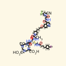 C[C@H](NC(=O)[C@H](CSCCNC(=O)CCCc1ccc(I)cc1)NC(=O)CN1CCN(CC(=O)O)CCN(CC(=O)O)CCN(CC(=O)O)CC1)C(=O)N1CCC(CCCCOc2ccc3nccc(C(=O)NCC(=O)N4CC(F)(F)C[C@@H]4C#N)c3c2)CC1